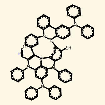 C/C=C\C1=C2B3c4cc(c(S)cc4N(c4ccccc4)c4cc(N(c5ccccc5)c5ccccc5)cc(c43)N1c1ccccc1)B1c3ccc(N(c4ccccc4)c4ccccc4)cc3-c3ccccc3N1c1cccc2c1